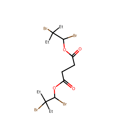 CCC(Br)(CC)C(Br)OC(=O)CCC(=O)OC(Br)C(Br)(CC)CC